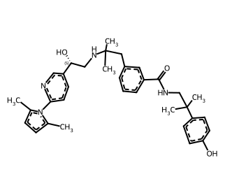 Cc1ccc(C)n1-c1ccc([C@H](O)CNC(C)(C)Cc2cccc(C(=O)NCC(C)(C)c3ccc(O)cc3)c2)cn1